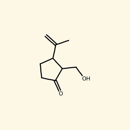 C=C(C)C1CCC(=O)C1CO